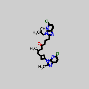 Cc1nc2ccc(Cl)nc2n1C1CC(CC(C)CC(=O)CCCc2nc3ccc(Cl)nc3n2CC(C)C)C1